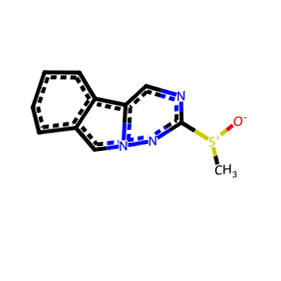 C[S+]([O-])c1ncc2c3ccccc3cn2n1